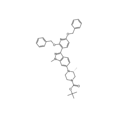 C[C@@H]1CN(C(=O)OC(C)(C)C)CCN1c1ccc2c(-c3ccc(OCc4ccccc4)nc3OCc3ccccc3)nn(C)c2c1